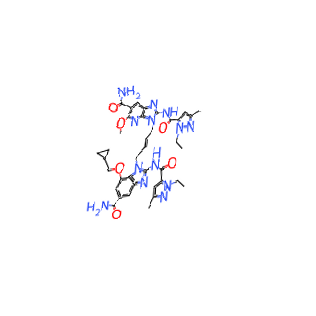 CCn1nc(C)cc1C(=O)Nc1nc2cc(C(N)=O)c(OC)nc2n1CC=CCn1c(NC(=O)c2cc(C)nn2CC)nc2cc(C(N)=O)cc(OCC3CC3)c21